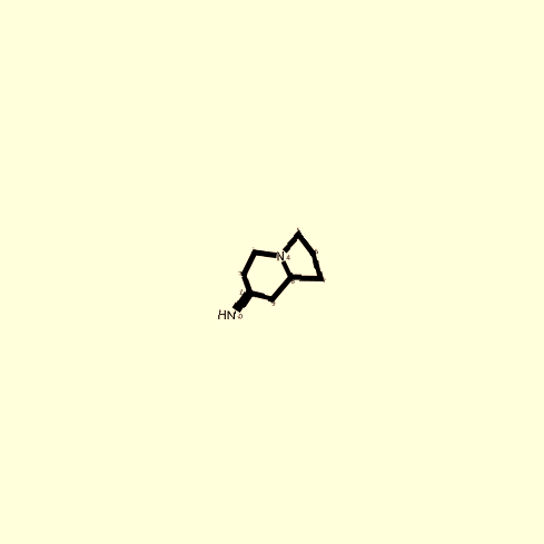 N=C1CCN2CCCC2C1